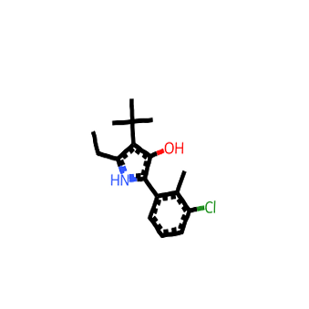 CCc1[nH]c(-c2cccc(Cl)c2C)c(O)c1C(C)(C)C